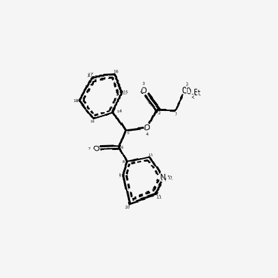 CCOC(=O)CC(=O)OC(C(=O)c1cccnc1)c1ccccc1